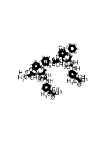 CC(C)(C)C(=O)CN1C(=O)C(NC(=O)Nc2cccc(C(C)(C)C(=O)[O-])c2)CN(C2CCCCC2)c2ccccc21.CC(C)(C)C(=O)CN1C(=O)[C@H](NC(=O)Nc2cccc(C(C)(C)C(=O)[O-])c2)CN(C2CCCCC2)c2ccccc21.[Ca+2]